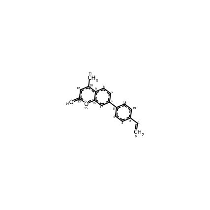 C=Cc1ccc(-c2ccc3c(C)cc(=O)oc3c2)cc1